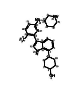 OC1CCC(c2cccc3c(-c4nc(N[C@H]5CCCNC5)ncc4C(F)(F)F)c[nH]c23)CC1